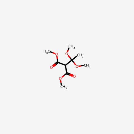 COC(=O)C(C(=O)OC)C(C)(OC)OC